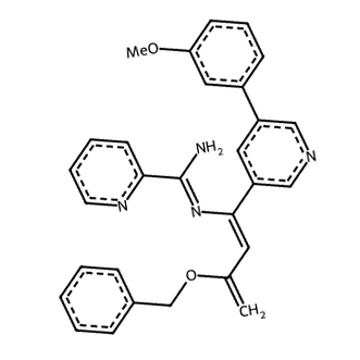 C=C(/C=C(\N=C(/N)c1ccccn1)c1cncc(-c2cccc(OC)c2)c1)OCc1ccccc1